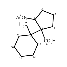 CC(=O)OC1CCCC1(C(=O)O)C1(C)CCCCC1